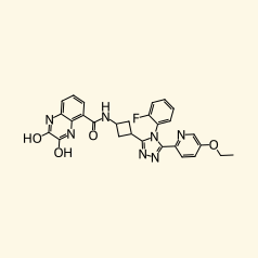 CCOc1ccc(-c2nnc(C3CC(NC(=O)c4cccc5nc(O)c(O)nc45)C3)n2-c2ccccc2F)nc1